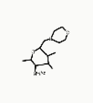 CC(=O)NC1C(C)OC(CN2CCOCC2)C(C)C1C